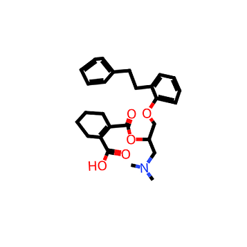 CN(C)CC(COc1ccccc1CCc1ccccc1)OC(=O)C1=C(C(=O)O)CCCC1